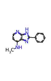 CNc1ccnc2[nH]c(-c3ccccc3)nc12